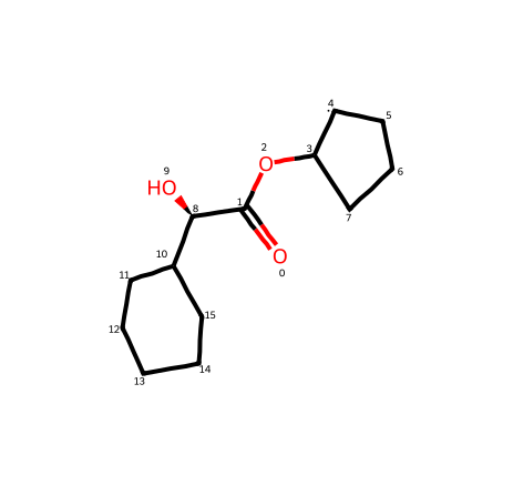 O=C(OC1[CH]CCC1)[C@H](O)C1CCCCC1